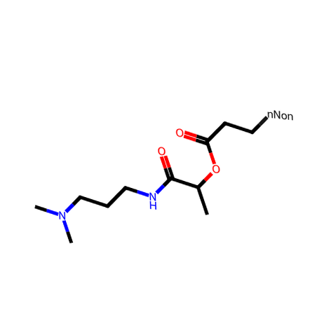 CCCCCCCCCCCC(=O)OC(C)C(=O)NCCCN(C)C